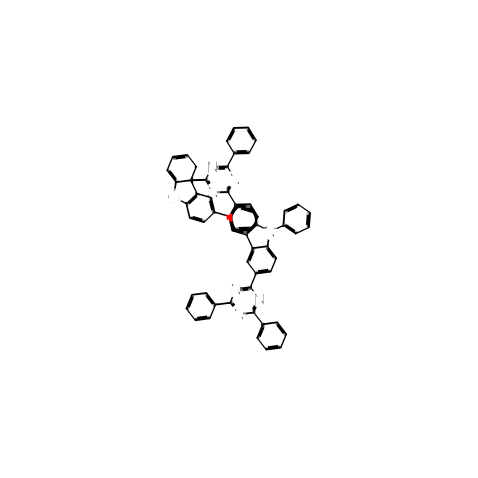 C1=CCC2(c3nc(-c4ccccc4)nc(-c4ccccc4)n3)C(=C1)Oc1ccc(-c3ccc4c(c3)c3cc(-c5nc(-c6ccccc6)nc(-c6ccccc6)n5)ccc3n4-c3ccccc3)cc12